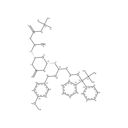 C=C1C[C@H](CC(O)CC(=C)C[Si](C)(C)C)O[C@H](CC(CCO[Si](c2ccccc2)(c2ccccc2)C(C)(C)C)OCc2ccc(OC)cc2)C1